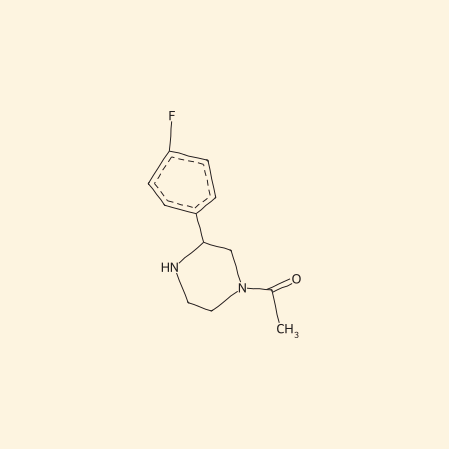 CC(=O)N1CCNC(c2ccc(F)cc2)C1